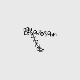 CCCCC(CC)C(OCCOCCOCC)OCCOCCOCCC